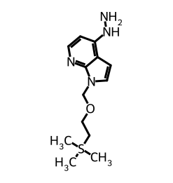 CS(C)(C)CCOCn1ccc2c(NN)ccnc21